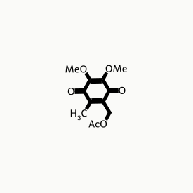 COC1=C(OC)C(=O)C(COC(C)=O)=C(C)C1=O